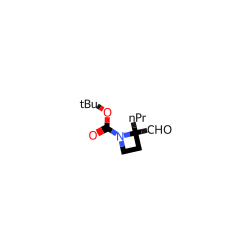 CCCC1(C=O)CCN1C(=O)OC(C)(C)C